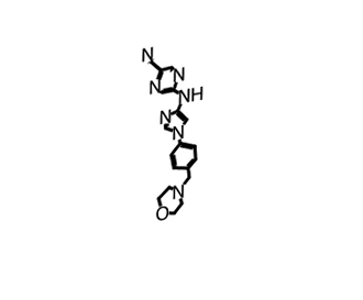 N#Cc1cnc(Nc2cn(-c3ccc(CN4CCOCC4)cc3)cn2)cn1